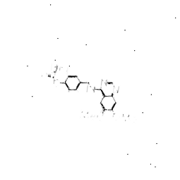 COc1cc2ncnc(NCc3ccc(O[PH](=O)O)cc3)c2cc1OC